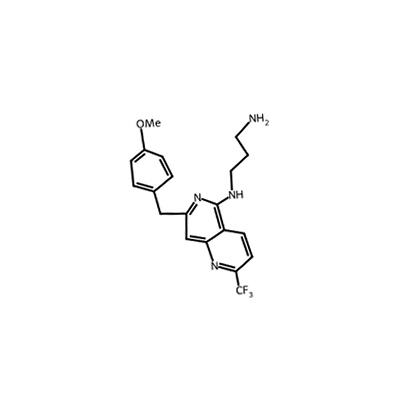 COc1ccc(Cc2cc3nc(C(F)(F)F)ccc3c(NCCCN)n2)cc1